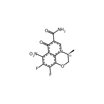 C[C@H]1COc2c(F)c(F)c([N+](=O)[O-])c3c(=O)c(C(N)=O)cn1c23